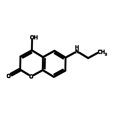 CCNc1ccc2oc(=O)cc(O)c2c1